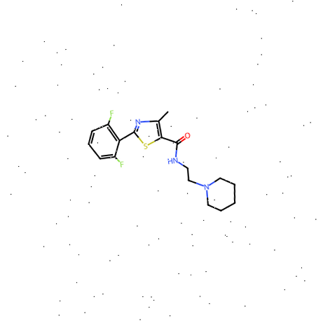 Cc1nc(-c2c(F)cccc2F)sc1C(=O)NCCN1CCCCC1